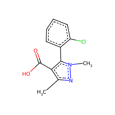 Cc1nn(C)c(-c2ccccc2Cl)c1C(=O)O